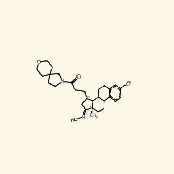 C[C@]12CCC3c4ccc(Cl)cc4CCC3C1[C@H](CCC(=O)N1CCC3(CCOCC3)C1)C/C2=N\O